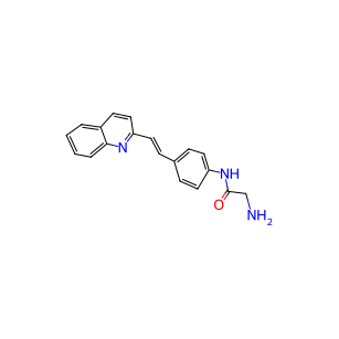 NCC(=O)Nc1ccc(C=Cc2ccc3ccccc3n2)cc1